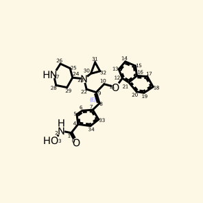 O=C(NO)c1ccc(/C=C(/COc2cccc3ccccc23)CN(C2CCNCC2)C2CC2)cc1